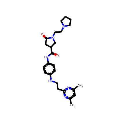 Cc1cc(C)nc(CCNc2ccc(NC(=O)C3CC(=O)N(CCN4CCCC4)C3)cc2)n1